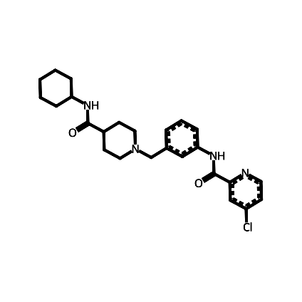 O=C(Nc1cccc(CN2CCC(C(=O)NC3CCCCC3)CC2)c1)c1cc(Cl)ccn1